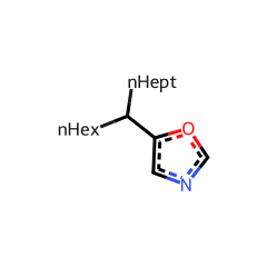 CCCCCCCC(CCCCCC)c1cnco1